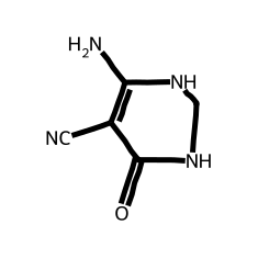 N#CC1=C(N)NCNC1=O